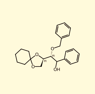 OC(c1ccccc1)[C@@H](OCc1ccccc1)[C@H]1COC2(CCCCC2)O1